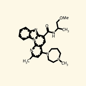 COCC(C)NC(=O)c1cc2c(N3CCCN(C)CC3)cc(C)nc2n2c1nc1ccccc12